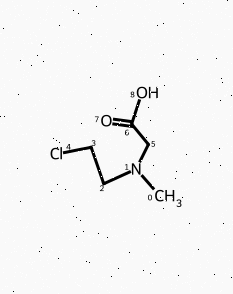 CN(CCCl)CC(=O)O